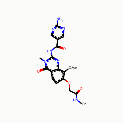 COc1c(OCC(=O)NC(C)C)ccc2c(=O)n(C)c(NC(=O)c3cnc(N)nc3)nc12